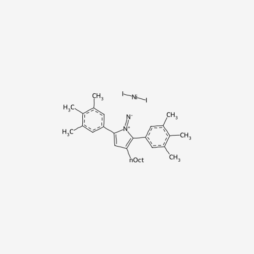 CCCCCCCCC1=C(c2cc(C)c(C)c(C)c2)[N+](=[N-])C(c2cc(C)c(C)c(C)c2)=C1.[I][Ni][I]